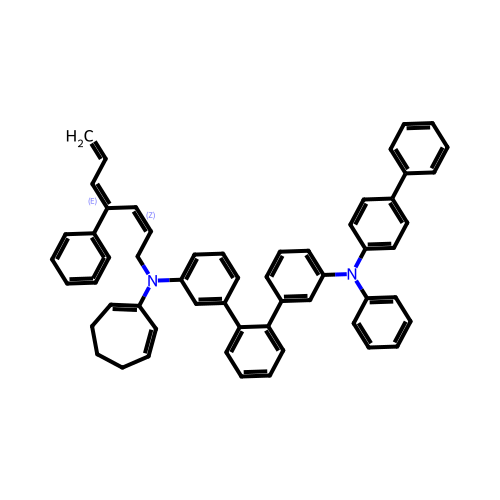 C=C/C=C(\C=C/CN(C1=CCCCC=C1)c1cccc(-c2ccccc2-c2cccc(N(c3ccccc3)c3ccc(-c4ccccc4)cc3)c2)c1)C1=C=C=CC=C1